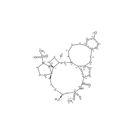 C[C@@H]1[C@@H](C)CCC[C@@]2(CN(S(C)(=O)=O)CCO2)[C@@H]2CC[C@H]2CN2CCCCc3cc(Cl)ccc3COc3ccc(cc32)C(=O)NS1(=O)=O